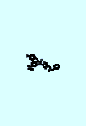 CN(Cc1ccccc1)Cc1cnc(NC(=O)C(Cc2ccc(F)cc2)c2ccc(S(C)(=O)=O)cc2)cn1